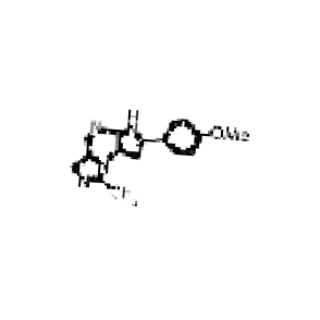 COc1ccc(-c2cc3c(ncc4cnc(C)n43)[nH]2)cc1